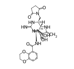 C=C1N[C@H]2[C@H](CN3C(=O)CCC3=O)NC(=N)N3C[C@H](NC(=O)c4cccc5c4OCCO5)C(O)(O)[C@]23N1